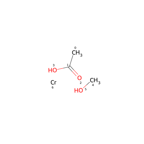 CC(=O)O.CO.[Cr]